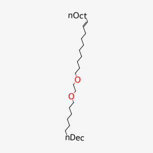 CCCCCCCCC=CCCCCCCCCOCCOCCCCCCCCCCCCCCCC